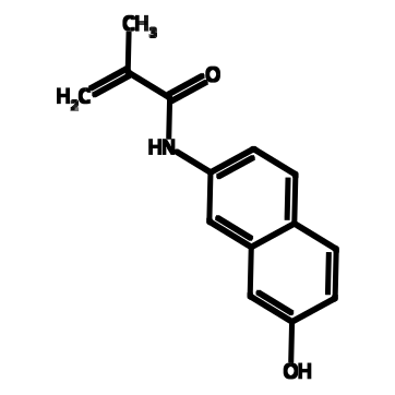 C=C(C)C(=O)Nc1ccc2ccc(O)cc2c1